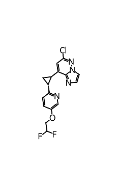 FC(F)COc1ccc([C@H]2CC2c2cc(Cl)nn3ccnc23)nc1